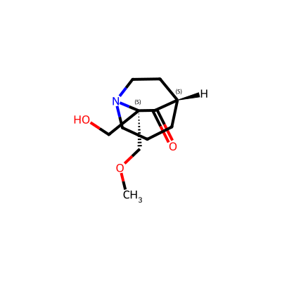 COC[C@@]1(CO)C(=O)[C@H]2CCCN1CC2